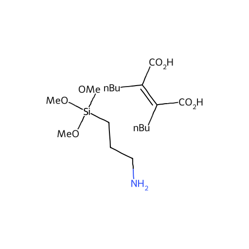 CCCC/C(C(=O)O)=C(\CCCC)C(=O)O.CO[Si](CCCN)(OC)OC